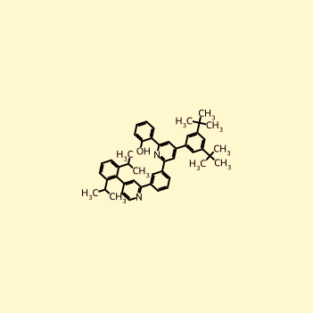 CC(C)c1cccc(C(C)C)c1-c1ccnc(-c2cccc(-c3cc(-c4cc(C(C)(C)C)cc(C(C)(C)C)c4)cc(-c4ccccc4O)n3)c2)c1